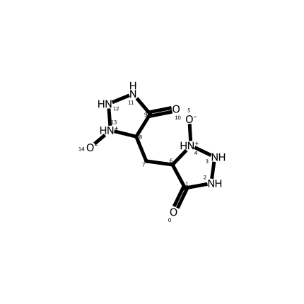 O=C1NN[NH+]([O-])C1CC1C(=O)NN[NH+]1[O-]